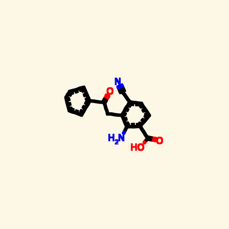 N#Cc1ccc(C(=O)O)c(N)c1CC(=O)c1ccccc1